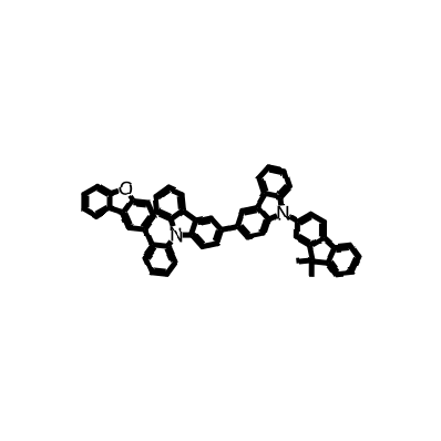 CC1(C)c2ccccc2-c2ccc(-n3c4ccccc4c4cc(-c5ccc6c(c5)c5ccccc5n6-c5ccccc5-c5ccc6oc7ccccc7c6c5)ccc43)cc21